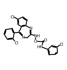 O=C(Nc1cccc(Cl)c1)ONC1=Nc2ccc(Cl)cc2C(c2ccccc2Cl)=NC1